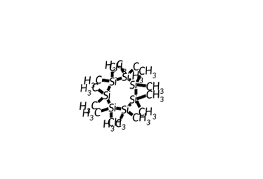 C[Si]1(C)[Si](C)(C)[Si](C)(C)[Si](C)(C)[Si](C)(C)[Si](C)(C)[Si]1(C)C